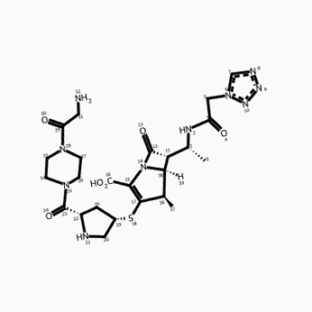 C[C@@H](NC(=O)Cn1cnnn1)[C@H]1C(=O)N2C(C(=O)O)=C(S[C@@H]3CN[C@H](C(=O)N4CCN(C(=O)CN)CC4)C3)[C@H](C)[C@H]12